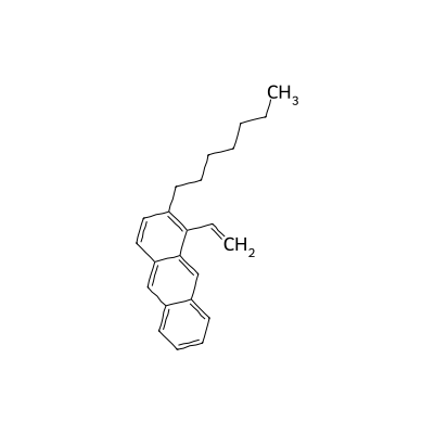 C=Cc1c(CCCCCCC)ccc2cc3ccccc3cc12